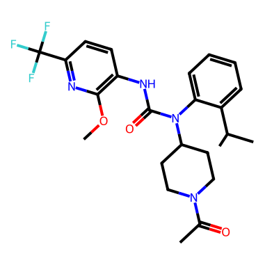 COc1nc(C(F)(F)F)ccc1NC(=O)N(c1ccccc1C(C)C)C1CCN(C(C)=O)CC1